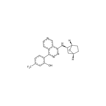 Oc1cc(C(F)(F)F)ccc1-c1nnc(N[C@@H]2C[C@H]3CC[C@@H]2O3)c2cnccc12